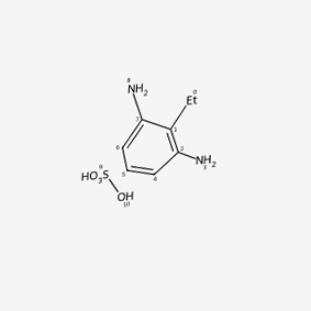 CCc1c(N)cccc1N.O=S(=O)(O)O